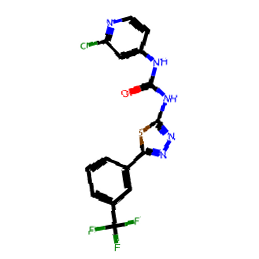 O=C(Nc1ccnc(Cl)c1)Nc1nnc(-c2cccc(C(F)(F)F)c2)s1